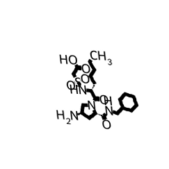 CCCCC[C@@H](NS(=O)(=O)CC(=O)O)C(=O)N1C[C@H](N)C[C@H]1C(=O)NCC1CCCCC1